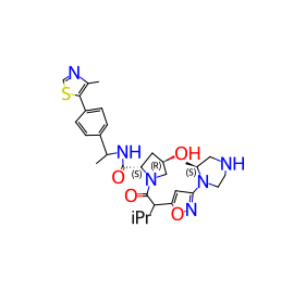 Cc1ncsc1-c1ccc(C(C)NC(=O)[C@@H]2C[C@@H](O)CN2C(=O)C(c2cc(N3CCNC[C@@H]3C)no2)C(C)C)cc1